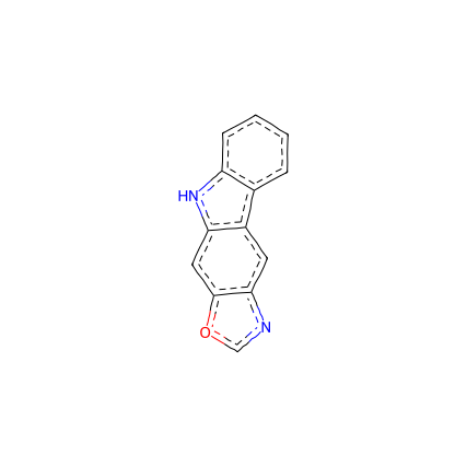 c1ccc2c(c1)[nH]c1cc3ocnc3cc12